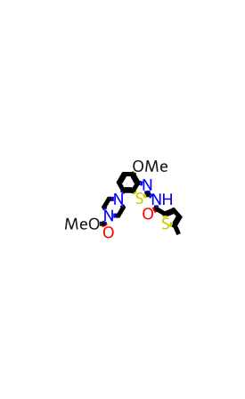 COC(=O)N1CCN(c2ccc(OC)c3nc(NC(=O)c4ccc(C)s4)sc23)CC1